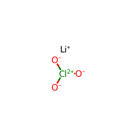 [Li+].[O-][Cl+2]([O-])[O-]